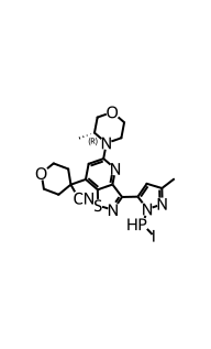 Cc1cc(-c2nsc3c(C4(C#N)CCOCC4)cc(N4CCOC[C@H]4C)nc23)n(PI)n1